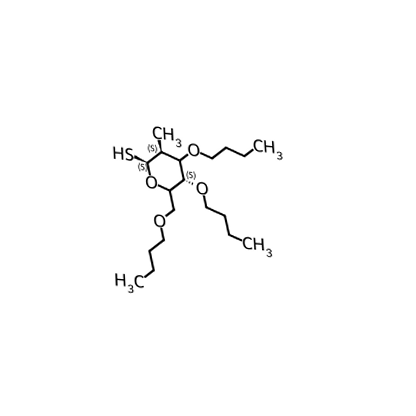 CCCCOCC1O[C@@H](S)[C@@H](C)C(OCCCC)[C@@H]1OCCCC